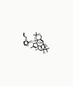 C=CCn1ccnc1O[C@H]1C(C)=C[C@]23C(=O)[C@@H](C=C4COC(C)(C)O[C@H]4[C@]12O)[C@H]1[C@@H](C[C@H]3C)C1(C)C